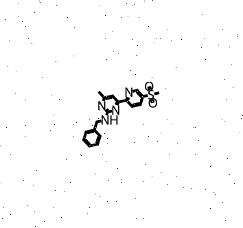 Cc1cc(-c2ccc(S(C)(=O)=O)cn2)nc(NCc2ccccc2)n1